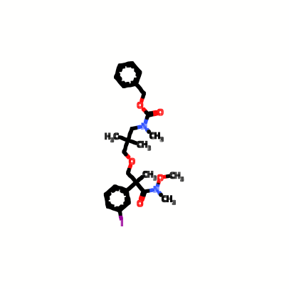 CON(C)C(=O)C(C)(COCC(C)(C)CN(C)C(=O)OCc1ccccc1)c1cccc(I)c1